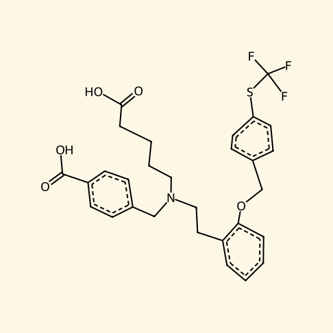 O=C(O)CCCCN(CCc1ccccc1OCc1ccc(SC(F)(F)F)cc1)Cc1ccc(C(=O)O)cc1